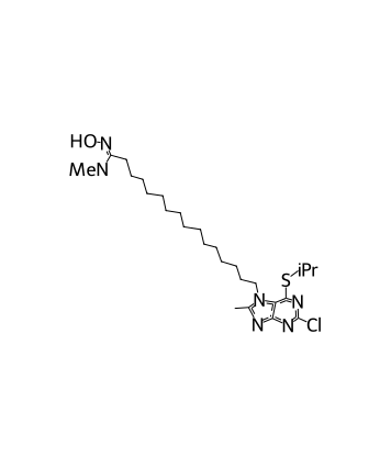 CN/C(CCCCCCCCCCCCCCCn1c(C)nc2nc(Cl)nc(SC(C)C)c21)=N\O